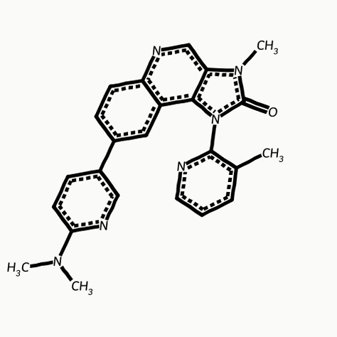 Cc1cccnc1-n1c(=O)n(C)c2cnc3ccc(-c4ccc(N(C)C)nc4)cc3c21